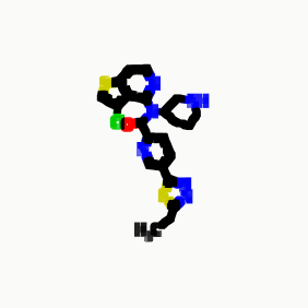 CCc1nnc(-c2ccc(C(=O)N(c3nccc4scc(Cl)c34)[C@@H]3CCCNC3)nc2)s1